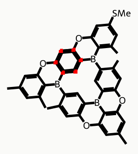 CSc1cc(C)c2c(c1)Oc1ccccc1B2c1cc2c(cc1C)Oc1cc(C)cc3c1B2c1cc(B2c4ccccc4Oc4cc(C)cc(C)c42)c(C)cc1O3